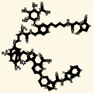 Cc1c(-c2ccc(N3CCn4cnc(C(=O)Nc5nc6ccccc6s5)c4C3)nc2C(=O)O)cnn1CC12CC3(C)CC(C)(C1)CC(OCCN(C)C(=O)OCc1ccc(CCCCNC(=O)CN4C(=O)C=CC4=O)cc1O[C@@H]1O[C@H](C(=O)O)[C@@H](O)[C@H](O)[C@H]1O)(C3)C2